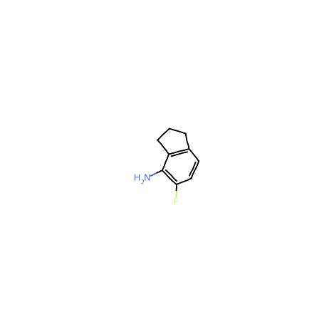 Nc1c(F)ccc2c1CCC2